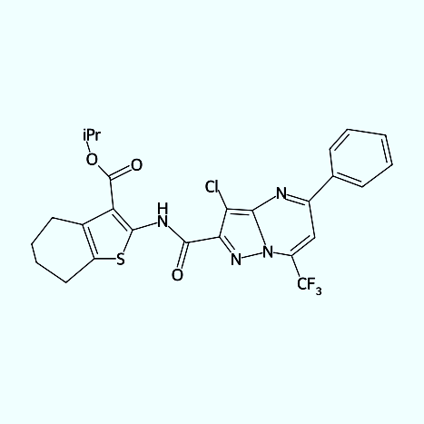 CC(C)OC(=O)c1c(NC(=O)c2nn3c(C(F)(F)F)cc(-c4ccccc4)nc3c2Cl)sc2c1CCCC2